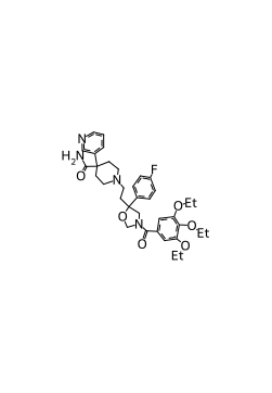 CCOc1cc(C(=O)N2COC(CCN3CCC(C(N)=O)(c4cccnc4)CC3)(c3ccc(F)cc3)C2)cc(OCC)c1OCC